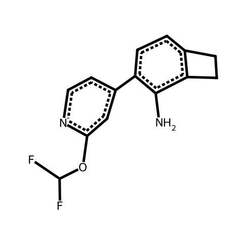 Nc1c(-c2ccnc(OC(F)F)c2)ccc2c1CC2